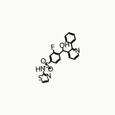 O=S(=O)(Nc1nccs1)c1ccc(C(O)c2cccnc2-c2ccccc2)c(F)c1